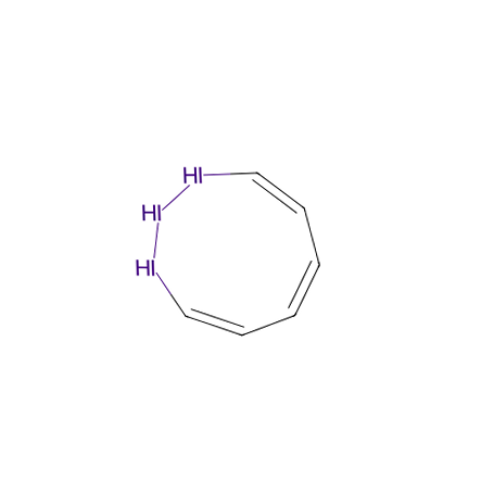 C1=CC=C[IH][IH][IH]C=C1